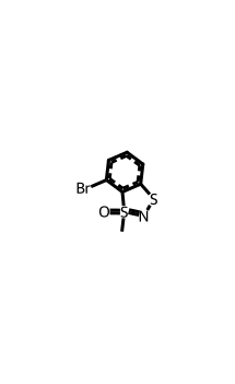 CS1(=O)=NSc2cccc(Br)c21